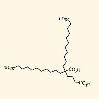 CCCCCCCCCCCCCCCCCCCCC(CCCCCCCCCCCCCCCCCCCC)(CCCC(=O)O)C(=O)O